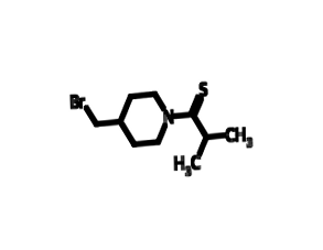 CC(C)C(=S)N1CCC(CBr)CC1